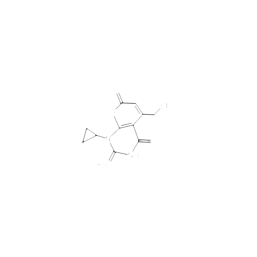 C=C1NC(=O)c2c(CC)cc(=O)oc2N1C1CC1